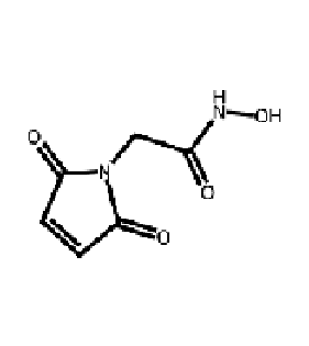 O=C(CN1C(=O)C=CC1=O)NO